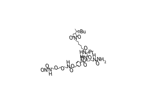 CCCCC(C)C1CC(=O)N(CCCCCC(=O)NC(C(=O)N[C@H](CCCNC(N)=O)C(=O)Nc2ccc(COC(=O)NCCOCCOCCNC(=O)N=O)cc2)C(C)C)C1=O